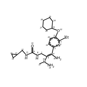 CCc1nc(/C(N)=C(\CNC(=O)NCC2CC2)N(C)N)ccc1OC1CCCCC1